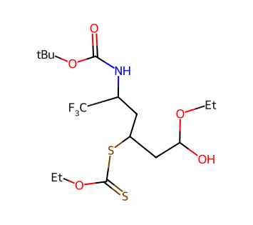 CCOC(=S)SC(CC(O)OCC)CC(NC(=O)OC(C)(C)C)C(F)(F)F